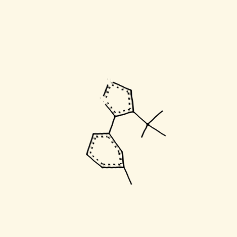 Cc1cccc(-c2n[nH]cc2C(C)(C)C)c1